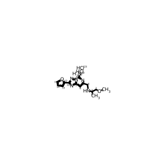 COCC(C)NCc1cc2nc(-c3ccco3)nn2c(N)n1.Cl.Cl